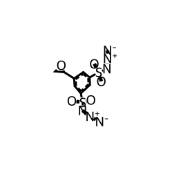 [N-]=[N+]=NS(=O)(=O)c1cc(C2CO2)cc(S(=O)(=O)N=[N+]=[N-])c1